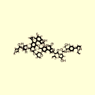 CCn1nccc1-c1ccc([C@H](CO)NC(=O)[C@@H]2C[C@@H](O)CN2C(=O)[C@H](C(C)C)n2cc3c(n2)c(=O)[nH]c2cc(COc4c(-c5c(C)c(F)cc6[nH]ncc56)c(C5CC5)cc5c(N6C[C@@H]7C[C@H]6CN7C(=O)C6CN(C)C6)nc(OC6CCOCC6)nc45)ccc23)cc1